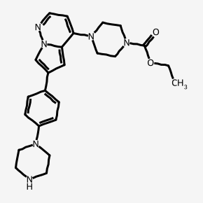 CCOC(=O)N1CCN(c2ccnn3cc(-c4ccc(N5CCNCC5)cc4)cc23)CC1